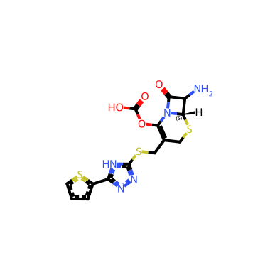 NC1C(=O)N2C(OC(=O)O)=C(CSc3nnc(-c4cccs4)[nH]3)CS[C@@H]12